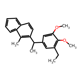 CCc1cc(C(C)c2ccc3ccccc3c2C)cc(OC)c1OC